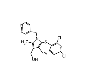 Cc1c(CO)c(C(C)C)c(Sc2ccc(Cl)cc2Cl)n1Cc1ccncc1